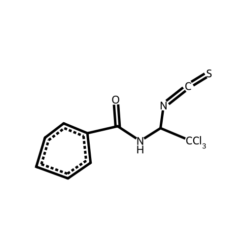 O=C(NC(N=C=S)C(Cl)(Cl)Cl)c1ccccc1